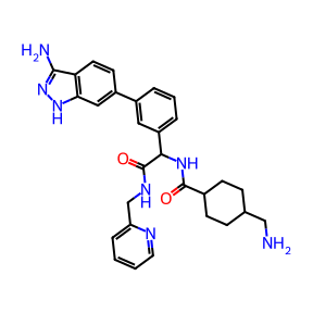 NCC1CCC(C(=O)NC(C(=O)NCc2ccccn2)c2cccc(-c3ccc4c(N)n[nH]c4c3)c2)CC1